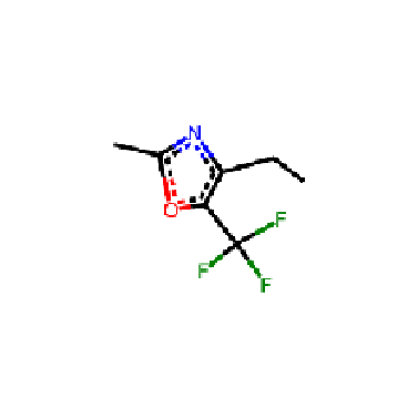 CCc1nc(C)oc1C(F)(F)F